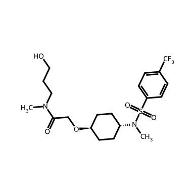 CN(CCCO)C(=O)CO[C@H]1CC[C@H](N(C)S(=O)(=O)c2ccc(C(F)(F)F)cc2)CC1